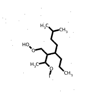 CCCC(CCC(C)C)C(COO)C(C)OI